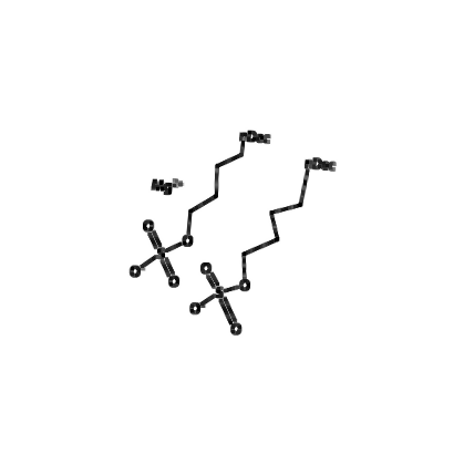 CCCCCCCCCCCCCCOS(=O)(=O)[O-].CCCCCCCCCCCCCCOS(=O)(=O)[O-].[Mg+2]